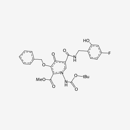 COC(=O)c1c(OCc2ccccc2)c(=O)c(C(=O)NCc2ccc(F)cc2O)cn1NC(=O)OC(C)(C)C